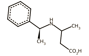 CC(CC(=O)O)N[C@@H](C)c1ccccc1